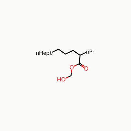 CCCCCCCCCCC(CCC)C(=O)OCO